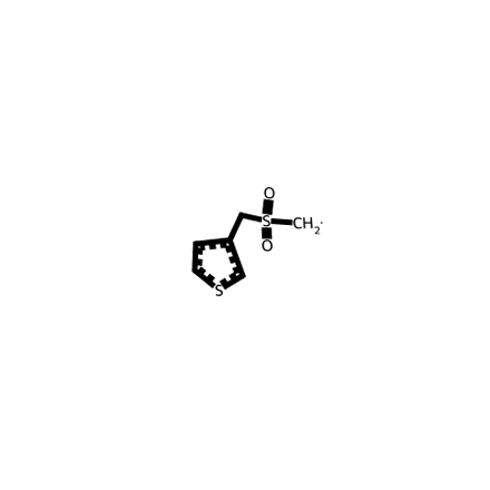 [CH2]S(=O)(=O)Cc1ccsc1